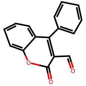 O=Cc1c(-c2ccccc2)c2ccccc2oc1=O